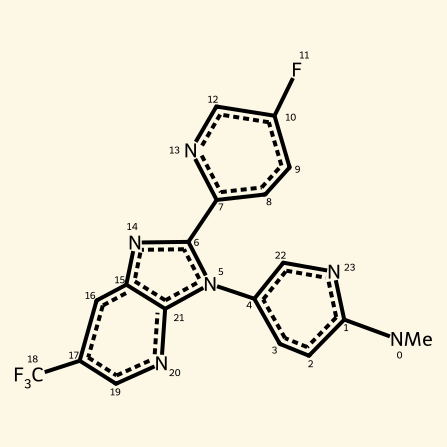 CNc1ccc(-n2c(-c3ccc(F)cn3)nc3cc(C(F)(F)F)cnc32)cn1